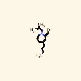 C=C(C)CN1C=CCC(CCCC(F)(F)F)=C/C1=C/CC